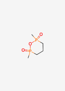 CP1(=O)CCCP(C)(=O)O1